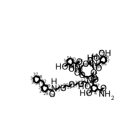 NC(=O)c1cc(O)c(O)c(C(=O)N(CCOCCOCCOCCNC(=O)c2cccc(Cc3ccccc3)c2)[C@H]2COC(=O)[C@@H](NC(=O)c3cccc(O)c3O)COC(=O)[C@@H](NC(=O)c3cccc(O)c3O)COC2=O)c1